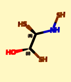 O[C@@H](S)[C@@H](S)NS